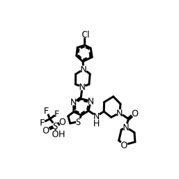 O=C(N1CCOCC1)N1CCCC(Nc2nc(N3CCN(c4ccc(Cl)cc4)CC3)nc3c2SCC3)C1.O=S(=O)(O)C(F)(F)F